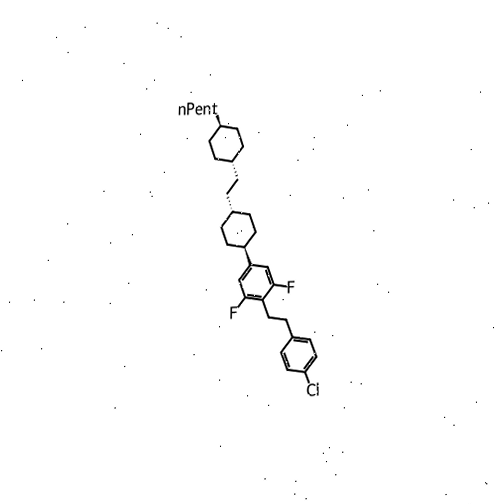 CCCCC[C@H]1CC[C@H](CC[C@H]2CC[C@H](c3cc(F)c(CCc4ccc(Cl)cc4)c(F)c3)CC2)CC1